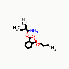 CCCCOC(=O)C1CCCCC1C(=O)OC(N)C(CC)CC